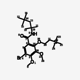 COc1c(Br)cc(C(=O)NC(C)(C)CC(C)(C)C)c(OCC[Si](C)(C)C)c1OC